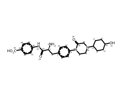 N[C@@H](Cc1ccc(N2CCN(C3CCC(O)CC3)CC2=O)cc1)C(=O)Nc1ccc(C(=O)O)cc1